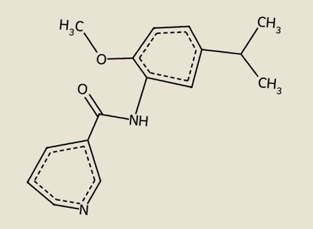 COc1ccc(C(C)C)cc1NC(=O)c1cccnc1